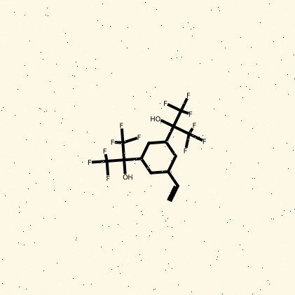 C=CC1CC(C(O)(C(F)(F)F)C(F)(F)F)CC(C(O)(C(F)(F)F)C(F)(F)F)C1